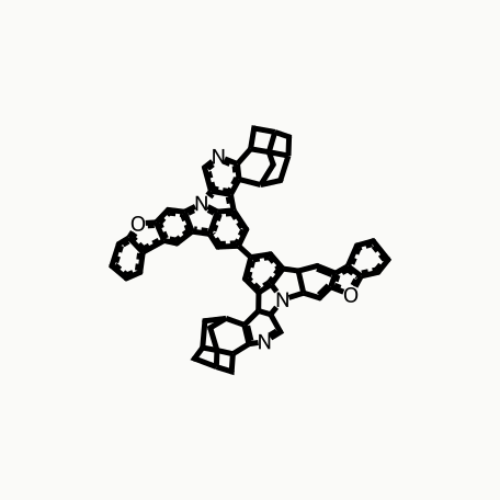 C1=NC2=C(C3CC4CC5CC2C45C3)C2c3cc(-c4cc5c6cc7c(cc6n6c8cnc9c(c8c(c4)c56)C4CC5CC6CC9C56C4)oc4ccccc47)cc4c3N(C3C=c5oc6ccccc6c5=CC43)C12